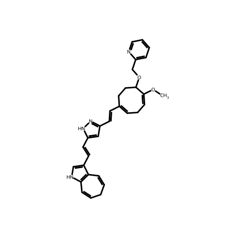 CO/C1=C/C/C=C(/C=C/c2cc(/C=C/c3c[nH]c4c3C=CCC=C4)[nH]n2)CCC1OCc1ccccn1